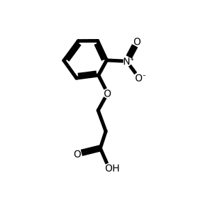 O=C(O)CCOc1ccccc1[N+](=O)[O-]